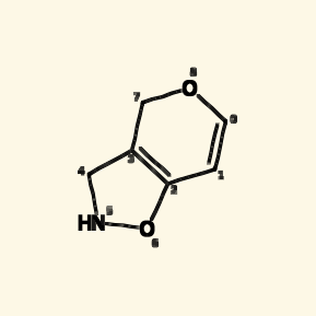 C1=CC2=C(CNO2)CO1